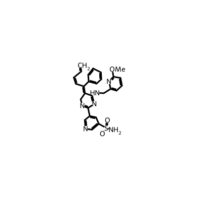 C=C/C=C\C(=C1/CN=C(c2cncc(S(N)(=O)=O)c2)N=C1NCc1cccc(OC)n1)c1ccccc1